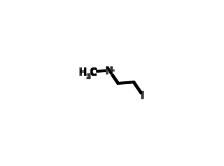 C[N]CCI